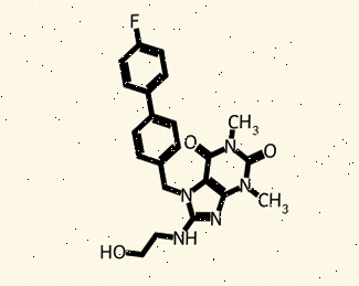 Cn1c(=O)c2c(nc(NCCO)n2Cc2ccc(-c3ccc(F)cc3)cc2)n(C)c1=O